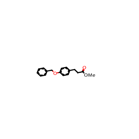 COC(=O)[CH]Cc1ccc(OCc2ccccc2)cc1